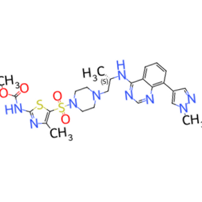 COC(=O)Nc1nc(C)c(S(=O)(=O)N2CCN(C[C@H](C)Nc3ncnc4c(-c5cnn(C)c5)cccc34)CC2)s1